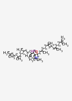 C/C(=C\CC(C/C=C(\C)CCCC(C)CCCC(C)CCCC(C)C)(C[N+](C)(C)C)O[PH-])CCCC(C)CCCC(C)CCCC(C)C